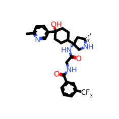 Cc1ccc(C2(O)CCC([C@@]3(NC(=O)CNC(=O)c4cccc(C(F)(F)F)c4)CN[C@@H](C)C3)CC2)cn1